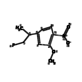 COc1cc([C](C)CF)ccc1[N+](=O)[O-]